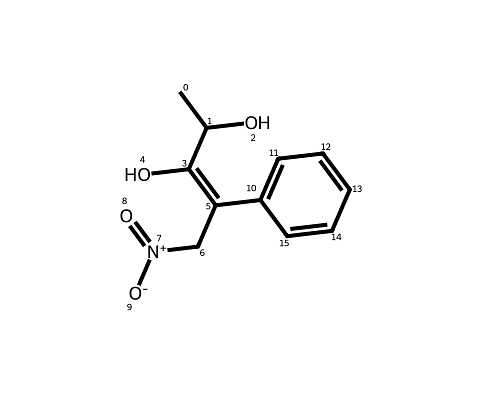 CC(O)/C(O)=C(/C[N+](=O)[O-])c1ccccc1